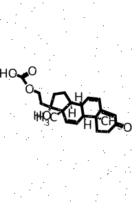 C[C@]12CCC(=O)C=C1C=C[C@@H]1[C@@H]2C=C[C@@]2(C)[C@H]1CC[C@@]2(O)CCOC(=O)O